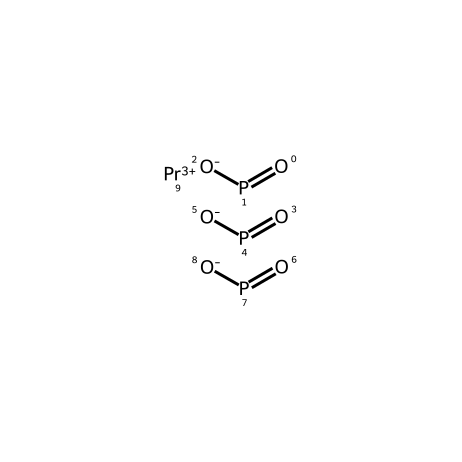 O=P[O-].O=P[O-].O=P[O-].[Pr+3]